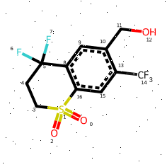 O=S1(=O)CCC(F)(F)c2cc(CO)c(C(F)(F)F)cc21